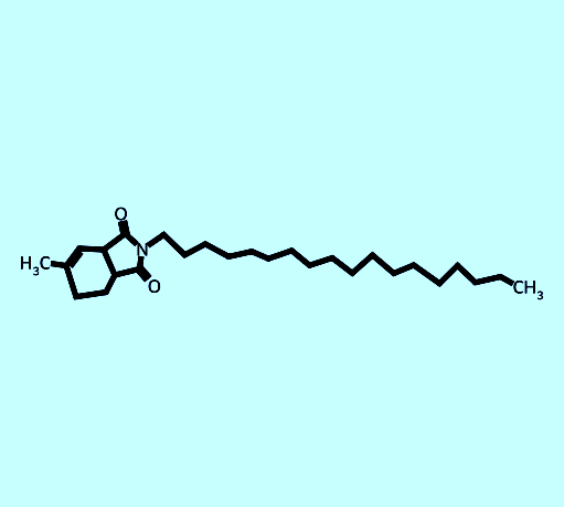 CCCCCCCCCCCCCCCCCCN1C(=O)C2C=C(C)CCC2C1=O